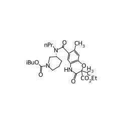 CCCN(C(=O)c1cc2c(cc1C)OC(C)(C(=O)OCC)C(=O)N2)[C@@H]1CCCN(C(=O)OCC(C)C)C1